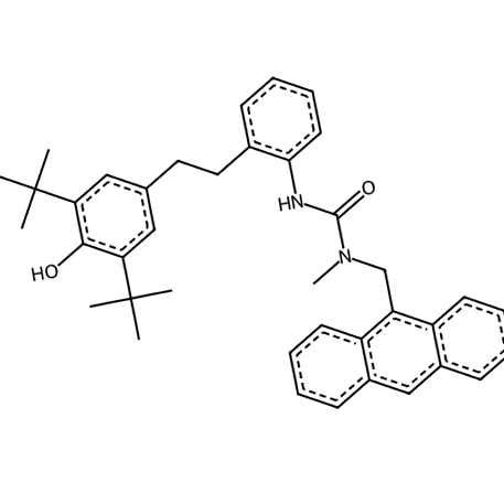 CN(Cc1c2ccccc2cc2ccccc12)C(=O)Nc1ccccc1CCc1cc(C(C)(C)C)c(O)c(C(C)(C)C)c1